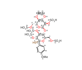 COc1ccc([C@@]2(S)O[C@H](COS(=O)(=O)O)[C@@H](O[C@H]3O[C@H](COS(=O)(=O)O)[C@@H](OS(=O)(=O)O)[C@H](OS(=O)(=O)O)[C@H]3OS(=O)(=O)O)[C@H](OS(=O)(=O)O)[C@H]2OS(=O)(=O)O)cc1